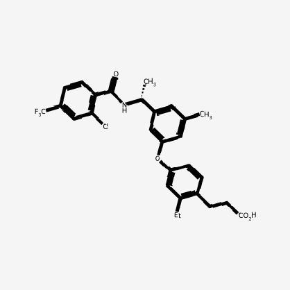 CCc1cc(Oc2cc(C)cc([C@@H](C)NC(=O)c3ccc(C(F)(F)F)cc3Cl)c2)ccc1CCC(=O)O